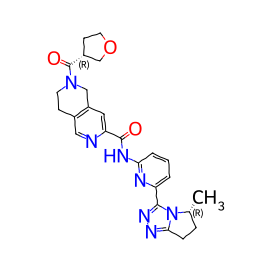 C[C@@H]1CCc2nnc(-c3cccc(NC(=O)c4cc5c(cn4)CCN(C(=O)[C@@H]4CCOC4)C5)n3)n21